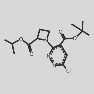 CC(C)OC(=O)C1CCN1c1nnc(Cl)cc1C(=O)OC(C)(C)C